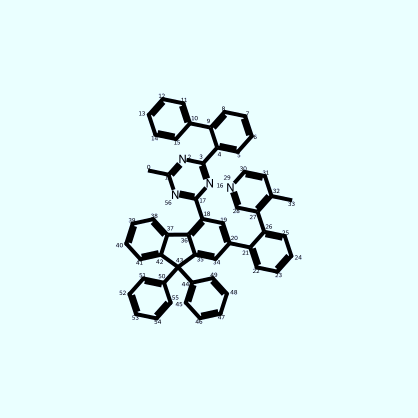 Cc1nc(-c2ccccc2-c2ccccc2)nc(-c2cc(-c3ccccc3-c3cnccc3C)cc3c2-c2ccccc2C3(c2ccccc2)c2ccccc2)n1